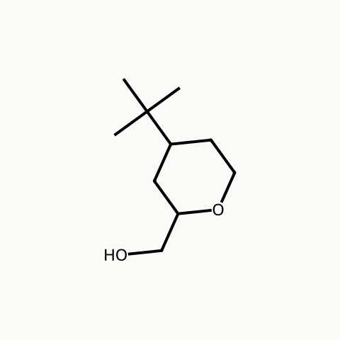 CC(C)(C)C1CCOC(CO)C1